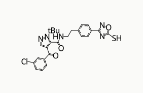 CC(C)(C)n1ncc(C(=O)c2cccc(Cl)c2)c1C(=O)NCCc1ccc(-c2noc(S)n2)cc1